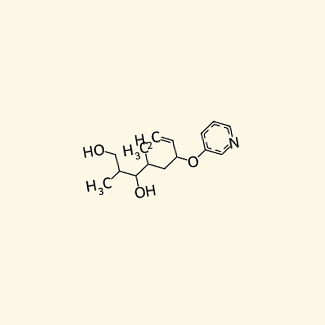 C=CC(CC(C)C(O)C(C)CO)Oc1cccnc1